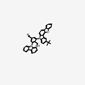 CC(C)(C)c1ccc2c(c1)c1c3oc4ccccc4c3ccc1n2-c1cc(C#N)cc(-n2c3ccccc3c3ccccc32)c1C=N